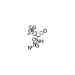 N#Cc1csc(NC(=O)/C(=C/[C@H]2CCC(=O)C2)c2ccc(S(=O)(=O)C3CC3)c(C3CC3)c2)n1